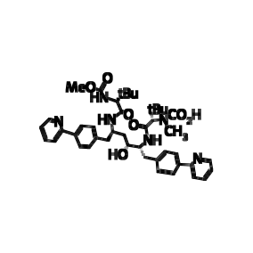 COC(=O)N[C@H](C(=O)N[C@H](Cc1ccc(-c2ccccn2)cc1)C[C@@H](O)[C@@H](Cc1ccc(-c2ccccn2)cc1)NC(=O)[C@@H](N(C)C(=O)O)C(C)(C)C)C(C)(C)C